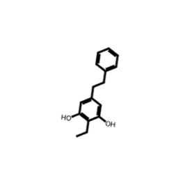 CCc1c(O)cc(CCc2ccccc2)cc1O